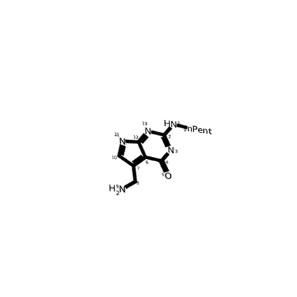 CCCCCNC1=NC(=O)C2=C(CN)C=NC2=N1